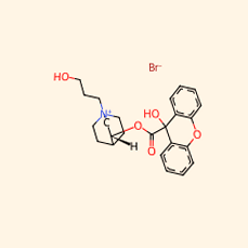 O=C(O[C@H]1C[N+]2(CCCO)CCC1CC2)C1(O)c2ccccc2Oc2ccccc21.[Br-]